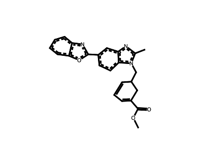 COC(=O)C1=CC=CC(Cn2c(C)nc3cc(-c4nc5ccccc5o4)ccc32)C1